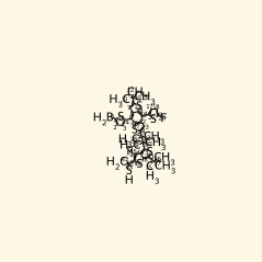 Bc1ccc(-c2c3cc(C(C)(C)C)sc3c(-c3ccc(F)s3)c3cc(C(C)(C)C(C)(C)c4sc(C(C)(C)C)c5sc(C(=C)S)c(F)c45)sc23)s1